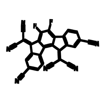 N#CC(C#N)=C1c2cc(C#N)ccc2-c2c1c(F)c(F)c1c2C(=C(C#N)C#N)c2cc(C#N)ccc2-1